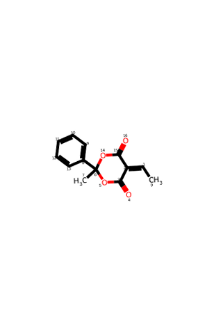 CC=C1C(=O)OC(C)(c2ccccc2)OC1=O